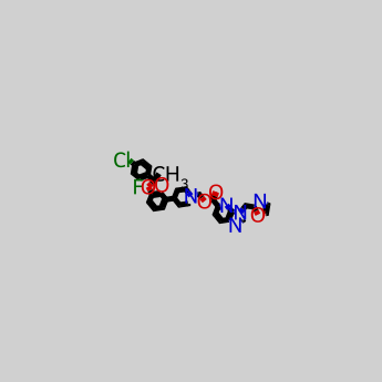 CC1(c2ccc(Cl)cc2F)Oc2cccc(C3CCN(COC(=O)c4ccc5ncn(Cc6ncco6)c5n4)CC3)c2O1